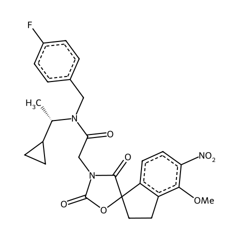 COc1c([N+](=O)[O-])ccc2c1CCC21OC(=O)N(CC(=O)N(Cc2ccc(F)cc2)[C@@H](C)C2CC2)C1=O